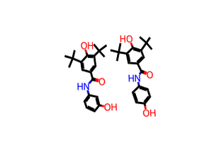 CC(C)(C)c1cc(C(=O)Nc2ccc(O)cc2)cc(C(C)(C)C)c1O.CC(C)(C)c1cc(C(=O)Nc2cccc(O)c2)cc(C(C)(C)C)c1O